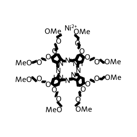 COCCOCCOc1cc2c(cc1OCCOCCOC)-c1nc-2nc2[nH]c(nc3nc(nc4[nH]c(n1)c1cc(OCCOCCOC)c(OCCOCCOC)cc41)-c1cc(OCCOCCOC)c(OCCOCCOC)cc1-3)c1cc(OCCOCCOC)c(OCCOCCOC)cc21.[Ni+2]